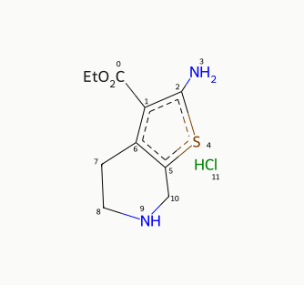 CCOC(=O)c1c(N)sc2c1CCNC2.Cl